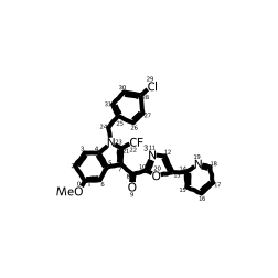 COc1ccc2c(c1)c(C(=O)c1ncc(-c3ccccn3)o1)c(C(F)(F)F)n2Cc1ccc(Cl)cc1